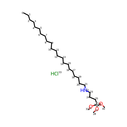 CCCCCCCCCCCCCCCCCCCCCCNCCC[Si](OC)(OC)OC.Cl